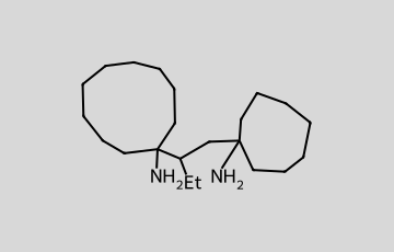 CCC(CC1(N)CCCCCCC1)C1(N)CCCCCCCCC1